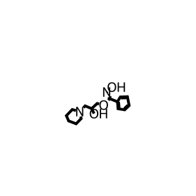 ON=C(OCC(O)CN1CCCCC1)c1ccccc1